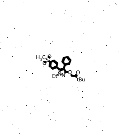 CCn1nc(OCC(=O)C(C)(C)C)c(-c2ccccc2)c1-c1ccc(S(C)(=O)=O)cc1